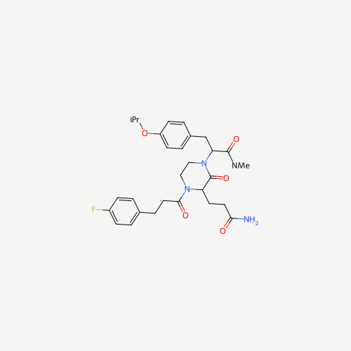 CNC(=O)C(Cc1ccc(OC(C)C)cc1)N1CCN(C(=O)[CH]Cc2ccc(F)cc2)C(CCC(N)=O)C1=O